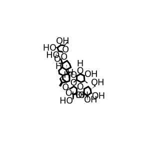 C=C1C[C@@]23CC[C@H]4[C@@](C)(CCC[C@@]4(C)C(=O)O[C@@H]4O[C@H](C)[C@@H](O)[C@H](O)[C@H]4O)[C@@H]2CC[C@]1(O[C@@H]1O[C@H](CO)[C@@H](O)[C@H](O[C@@H]2C[C@H](CO)[C@@H](O)[C@H](O)[C@H]2O)[C@H]1O[C@@H]1C[C@H](C)[C@@H](O)[C@H](O)[C@H]1O)C3